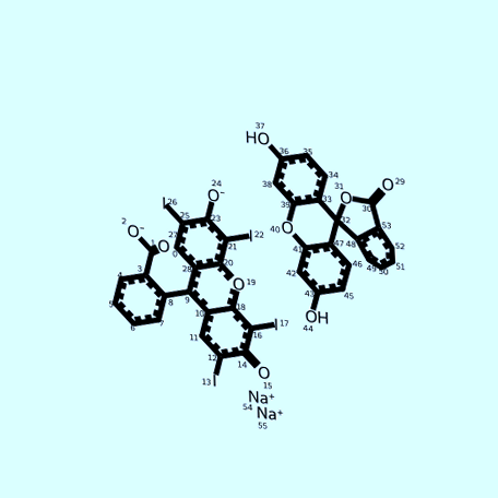 O=C([O-])c1ccccc1-c1c2cc(I)c(=O)c(I)c-2oc2c(I)c([O-])c(I)cc12.O=C1OC2(c3ccc(O)cc3Oc3cc(O)ccc32)c2ccccc21.[Na+].[Na+]